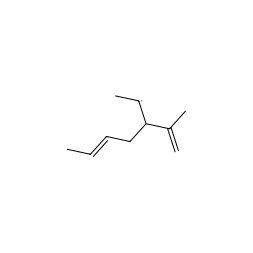 C=C(C)C([CH]C)CC=CC